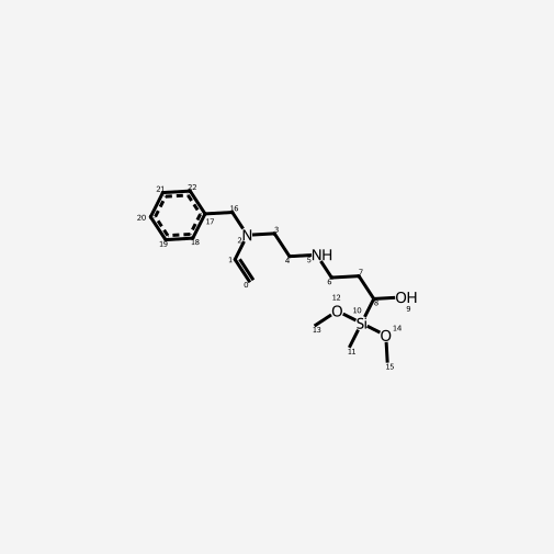 C=CN(CCNCCC(O)[Si](C)(OC)OC)Cc1ccccc1